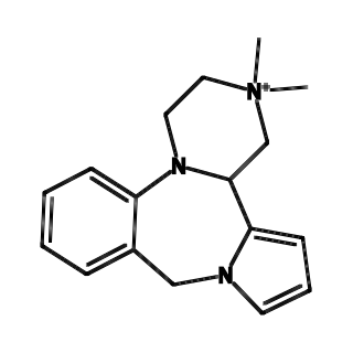 C[N+]1(C)CCN2c3ccccc3Cn3cccc3C2C1